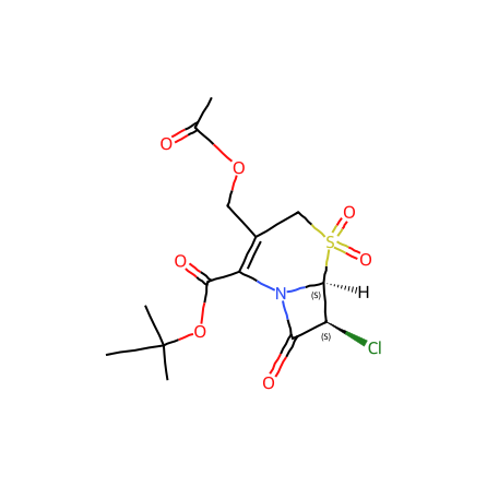 CC(=O)OCC1=C(C(=O)OC(C)(C)C)N2C(=O)[C@H](Cl)[C@@H]2S(=O)(=O)C1